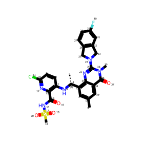 Cc1cc([C@@H](C)Nc2ccc(Cl)nc2C(=O)NS(C)(=O)=O)c2nc(N3Cc4ccc(F)cc4C3)n(C)c(=O)c2c1